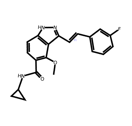 COc1c(C(=O)NC2CC2)ccc2[nH]nc(/C=C/c3cccc(F)c3)c12